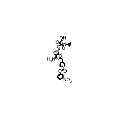 Nc1nc(CC2CCN(C(=O)Oc3cccc([N+](=O)[O-])c3)CC2)nc2c1ncn2CO[C@H](C(=O)NC1CC1)[C@H](O)CO